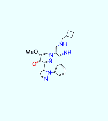 COc1cn(/C(C=N)=C/NCC2CCC2)nc(C2CC=NN2c2ccccc2)c1=O